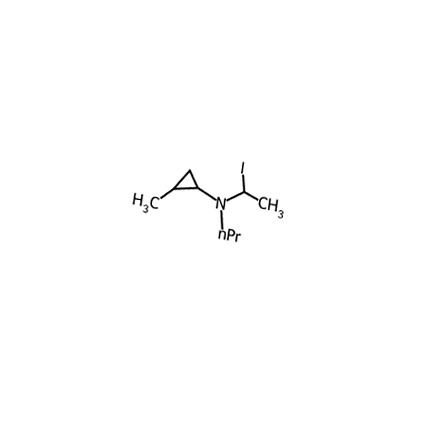 CCCN(C(C)I)C1CC1C